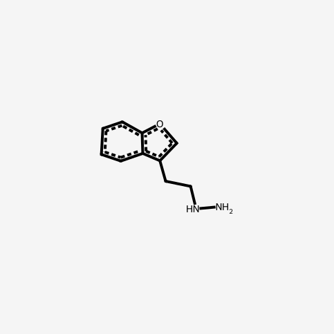 NNCCc1coc2ccccc12